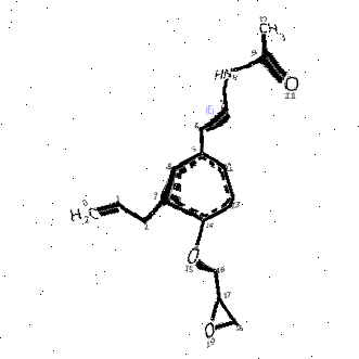 C=CCc1cc(/C=C/NC(C)=O)ccc1OCC1CO1